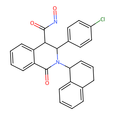 O=NC(=O)C1c2ccccc2C(=O)N(C2C=CCc3ccccc32)C1c1ccc(Cl)cc1